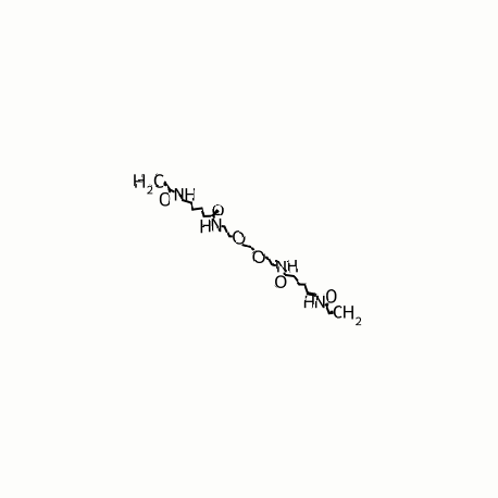 C=CC(=O)NCCCCCC(=O)NCCOCCOCCNC(=O)CCCCCNC(=O)C=C